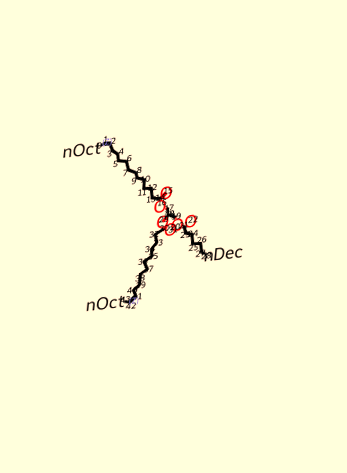 CCCCCCCC/C=C\CCCCCCCCCCCC(=O)OC[C@@H](COC(=O)CCCCCCCCCCCCCCC)OC(=O)CCCCCCCCC/C=C\CCCCCCCC